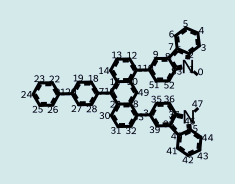 Cn1c2ccccc2c2cc(-c3cccc4c(-c5ccc(-c6ccccc6)cc5)c5cccc(-c6ccc7c(c6)c6ccccc6n7C)c5cc34)ccc21